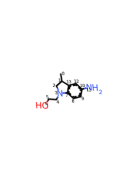 CC1CN(CCO)c2ccc(N)cc21